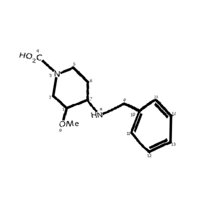 COC1CN(C(=O)O)CCC1NCc1ccccc1